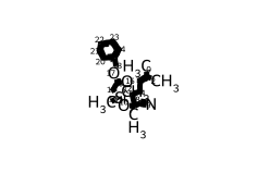 CC(C)=CCC[C@@](C)(C#N)O[Si](C)(C)CC(=O)OCc1ccccc1